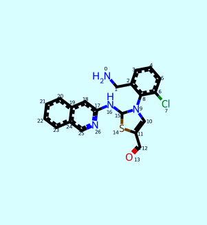 NCc1cccc(Cl)c1N1C=C([C]=O)SC1Nc1cc2ccccc2cn1